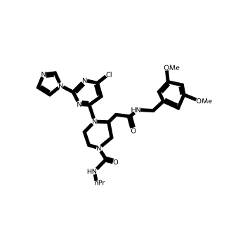 CCCNC(=O)N1CCN(c2cc(Cl)nc(-n3ccnc3)n2)C(CC(=O)NCc2cc(OC)cc(OC)c2)C1